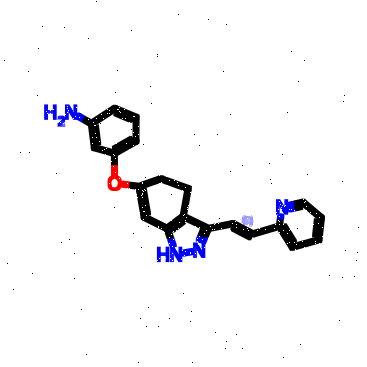 Nc1cccc(OC2=Cc3[nH]nc(/C=C/c4ccccn4)c3CC2)c1